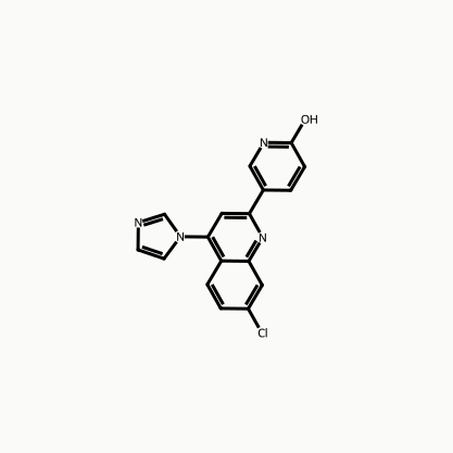 Oc1ccc(-c2cc(-n3ccnc3)c3ccc(Cl)cc3n2)cn1